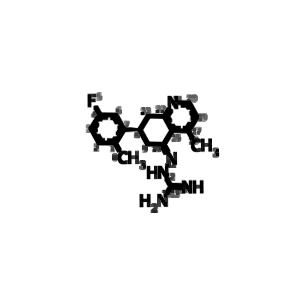 Cc1ccc(F)cc1[C@@H]1CC(=NNC(=N)N)c2c(C)ccnc2C1